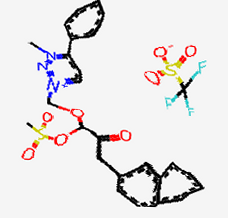 Cn1n[n+](COC(OS(C)(=O)=O)C(=O)Cc2ccc3ccccc3c2)cc1-c1ccccc1.O=S(=O)([O-])C(F)(F)F